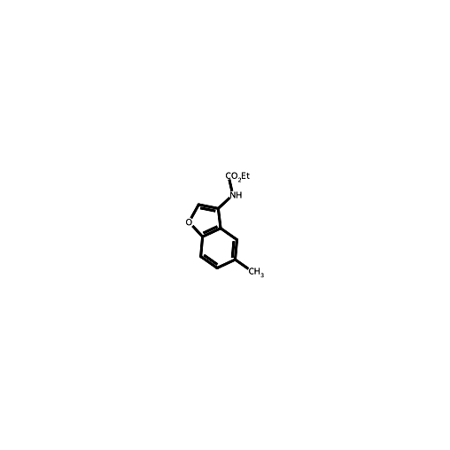 CCOC(=O)Nc1coc2ccc(C)cc12